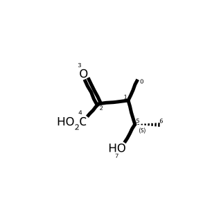 CC(C(=O)C(=O)O)[C@H](C)O